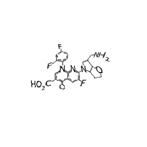 NCC1CN(c2nc3c(cc2F)c(=O)c(C(=O)O)cn3-c2ccc(F)cc2F)C2CCOC12